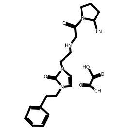 N#CC1CCCN1C(=O)CNCCn1ccn(CCc2ccccc2)c1=O.O=C(O)C(=O)O